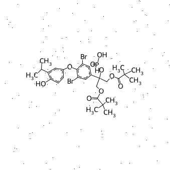 CC(C)c1cc(Oc2c(Br)cc(C(COC(=O)C(C)(C)C)(COC(=O)C(C)(C)C)O[PH](=O)O)cc2Br)ccc1O